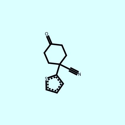 N#CC1(c2cccs2)CCC(=O)CC1